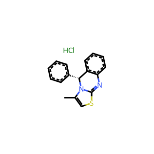 CC1=CSC2=Nc3ccccc3[C@@H](c3ccccc3)N12.Cl